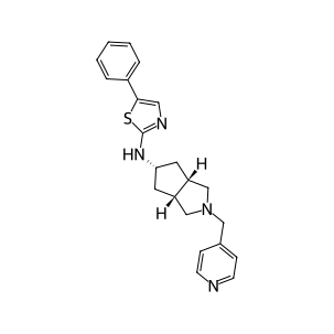 c1ccc(-c2cnc(N[C@@H]3C[C@@H]4CN(Cc5ccncc5)C[C@@H]4C3)s2)cc1